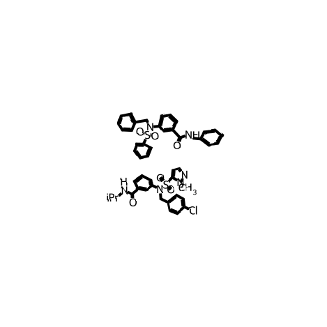 CC(C)NC(=O)c1cccc(N(Cc2ccc(Cl)cc2)S(=O)(=O)c2ccnn2C)c1.O=C(NCc1ccccc1)c1cccc(N(Cc2ccccc2)S(=O)(=O)c2ccccc2)c1